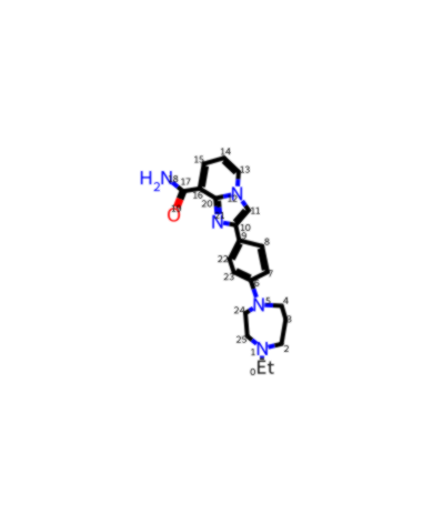 CCN1CCCN(c2ccc(-c3cn4cccc(C(N)=O)c4n3)cc2)CC1